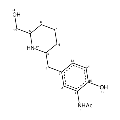 CC(=O)Nc1cc(CC2CCCC(CO)N2)ccc1O